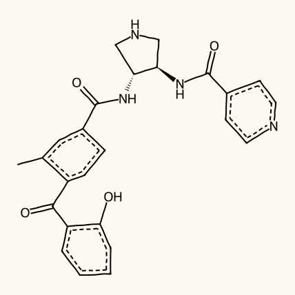 Cc1cc(C(=O)N[C@@H]2CNC[C@H]2NC(=O)c2ccncc2)ccc1C(=O)c1ccccc1O